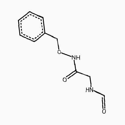 O=CNCC(=O)NOCc1ccccc1